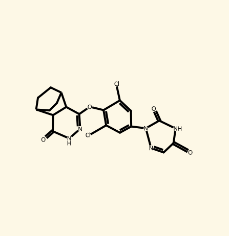 O=C1NN=C(Oc2c(Cl)cc(-n3ncc(=O)[nH]c3=O)cc2Cl)C2C3CCC(CC3)C12